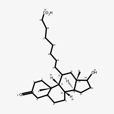 C[C@]12CCC(=O)CC1CC[C@@H]1[C@H]2C(CCCCCCCC(=O)O)C[C@]2(C)C(O)CC[C@@H]12